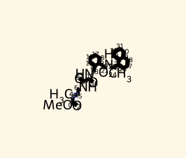 COC(=O)/C(C)=C/CNC(=O)C(=O)NCc1ccccc1C(=O)N[C@H](C)c1cccc2ccccc12